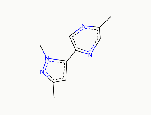 Cc1cnc(-c2cc(C)nn2C)cn1